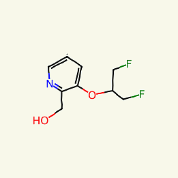 OCc1nc[c]cc1OC(CF)CF